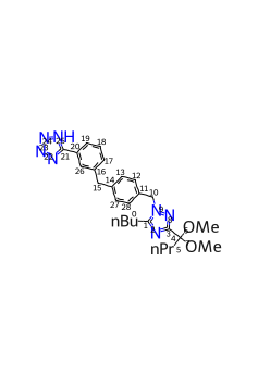 CCCCc1nc(C(CCC)(OC)OC)nn1Cc1ccc(Cc2cccc(-c3nnn[nH]3)c2)cc1